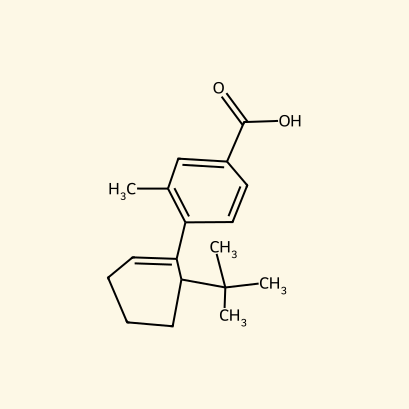 Cc1cc(C(=O)O)ccc1C1=CCCCC1C(C)(C)C